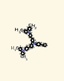 Cc1ccc2c(c1)c1cc(C)ccc1n2-c1ccc(-c2ccc3c(c2)c2cc(-c4ccc(-n5c6ccc(C)cc6c6cc(C)ccc65)cc4)ccc2n3-c2ccc(-c3ccccc3)cc2)cc1